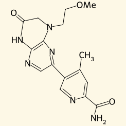 COCCN1CC(=O)Nc2ncc(-c3cnc(C(N)=O)cc3C)nc21